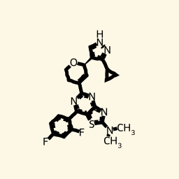 CN(C)c1nc2nc(C3=C[C@H](c4c[nH]nc4C4CC4)OCC3)nc(-c3ccc(F)cc3F)c2s1